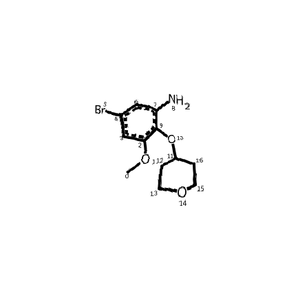 COc1cc(Br)cc(N)c1OC1CCOCC1